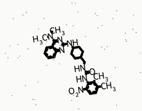 Cc1ccc([N+](=O)[O-])c(NC(=O)NCC2CCC(Nc3nc(N(C)C)c4ccccc4n3)CC2)c1C